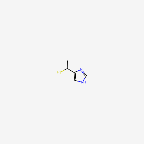 CC(S)c1c[nH]cn1